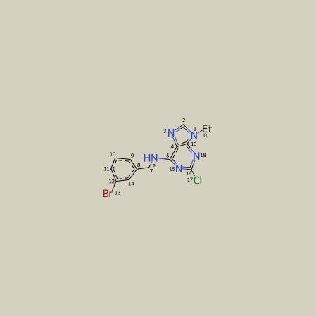 CCn1cnc2c(NCc3cccc(Br)c3)nc(Cl)nc21